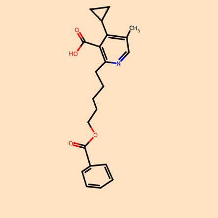 Cc1cnc(CCCCCOC(=O)c2ccccc2)c(C(=O)O)c1C1CC1